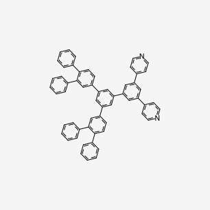 c1ccc(-c2ccc(-c3cc(-c4cc(-c5ccncc5)cc(-c5ccncc5)c4)cc(-c4ccc(-c5ccccc5)c(-c5ccccc5)c4)c3)cc2-c2ccccc2)cc1